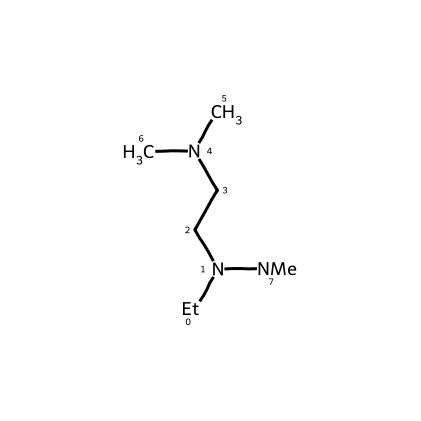 CCN(CCN(C)C)NC